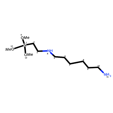 CO[Si](CCNCCCCCCN)(OC)OC